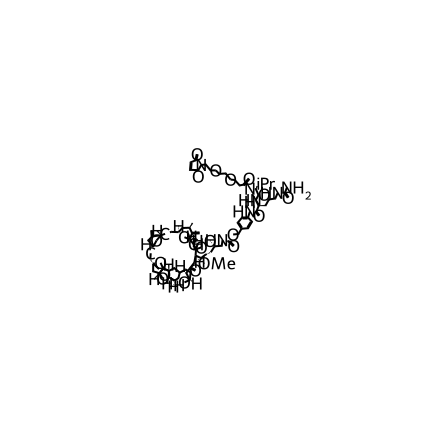 C=C1C[C@@H]2CC[C@@]34C[C@H]5O[C@H]6[C@@H](O3)[C@H]3O[C@H](CC[C@@H]3C[C@H]6C5O4)CC(=O)C[C@@H]3[C@@H](OC)[C@@H](C[C@H](O)CNC(=O)OCc4ccc(NC(=O)[C@H](CCCNC(N)=O)NC(=O)[C@@H](NC(=O)CCOCCOCCN5C(=O)C=CC5=O)C(C)C)cc4)O[C@H]3C[C@H]3O[C@@H](CC[C@@H]1O2)C[C@@H](C)C3=C